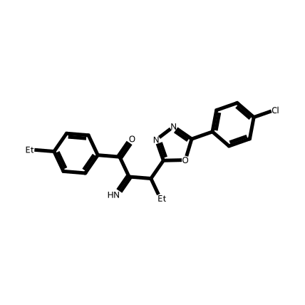 CCc1ccc(C(=O)C(=N)C(CC)c2nnc(-c3ccc(Cl)cc3)o2)cc1